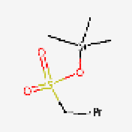 CC(C)CS(=O)(=O)O[Si](C)(C)C